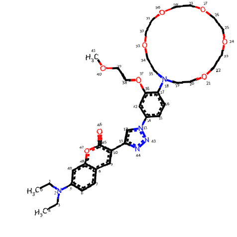 CCN(CC)c1ccc2cc(-c3cn(-c4ccc(N5CCOCCOCCOCCOCCOCC5)c(OCCOC)c4)nn3)c(=O)oc2c1